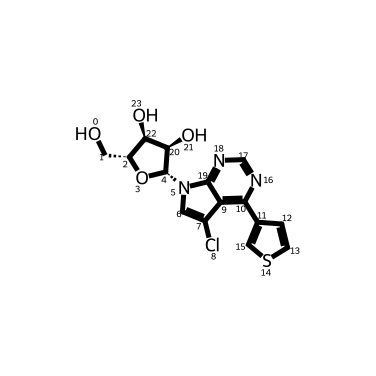 OC[C@H]1O[C@@H](n2cc(Cl)c3c(-c4ccsc4)ncnc32)[C@H](O)[C@@H]1O